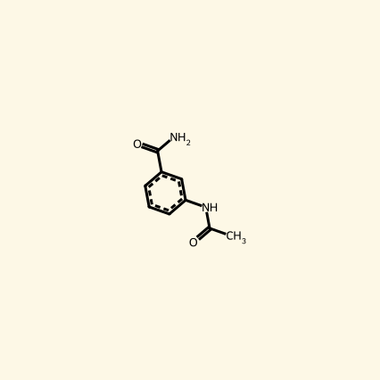 CC(=O)Nc1cccc(C(N)=O)c1